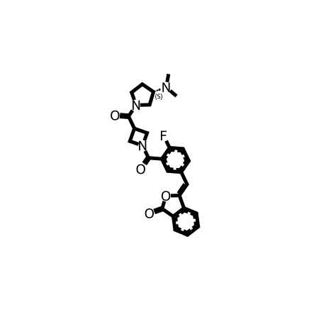 CN(C)[C@H]1CCN(C(=O)C2CN(C(=O)c3cc(C=C4OC(=O)c5ccccc54)ccc3F)C2)C1